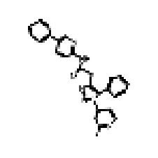 Cc1cc(-n2nnc(CC(=O)Nc3ccc(-c4ccccc4)cn3)c2-c2ccccc2)ccn1